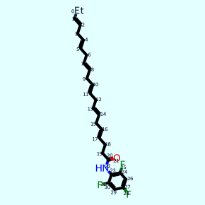 CCC=CCC=CCC=CCC=CCC=CCC=CCCC(=O)Nc1c(F)cc(F)cc1F